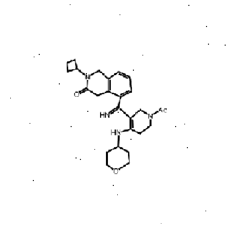 CC(=O)N1CCC(NC2CCOCC2)=C(C(=N)c2cccc3c2CC(=O)N(C2CCC2)C3)C1